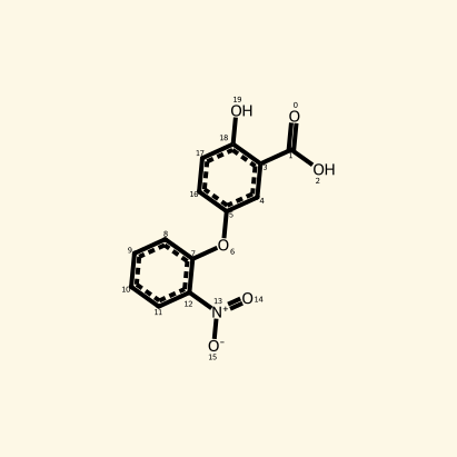 O=C(O)c1cc(Oc2ccccc2[N+](=O)[O-])ccc1O